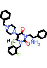 Cc1c(N2CCN(Cc3ccccc3)CC2)c(=O)n(C[C@H](N)c2ccccc2)c(=O)n1Cc1c(F)cccc1F